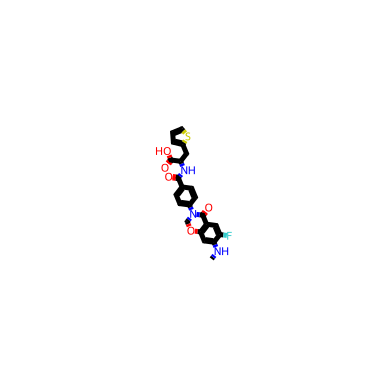 CNc1cc2c(cc1F)C(=O)N(c1ccc(C(=O)NC(Cc3cccs3)C(=O)O)cc1)CO2